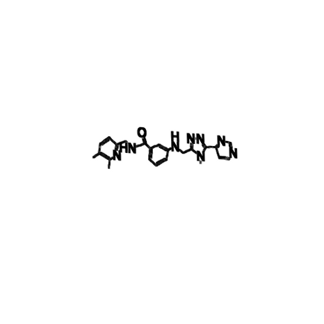 Cc1ccc(CNC(=O)c2cccc(NCc3nnc(-c4ccncn4)n3C)c2)nc1C